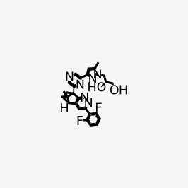 Cc1cc(-c2cncc([C@@]34CC[C@@H](c5cc(-c6c(F)cccc6F)nnc53)C4(C)C)n2)nn1C[C@H](O)CO